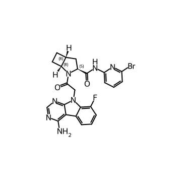 Nc1ncnc2c1c1cccc(F)c1n2CC(=O)N1[C@@H]2CC[C@@H]2C[C@H]1C(=O)Nc1cccc(Br)n1